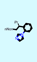 CCCCCCCCCC[C@H](c1ccccc1-n1ccnc1)C(C)C